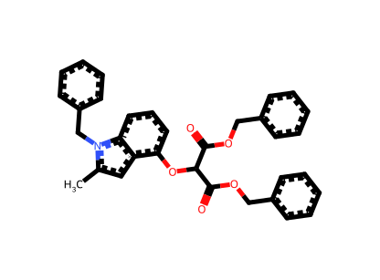 Cc1cc2c(OC(C(=O)OCc3ccccc3)C(=O)OCc3ccccc3)cccc2n1Cc1ccccc1